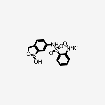 O=[N+]([O-])c1ccccc1S(=O)(=O)Nc1ccc2c(c1)B(O)OC2